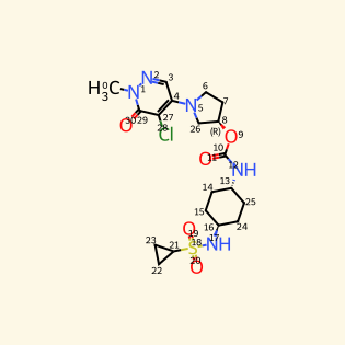 Cn1ncc(N2CC[C@@H](OC(=O)N[C@H]3CC[C@H](NS(=O)(=O)C4CC4)CC3)C2)c(Cl)c1=O